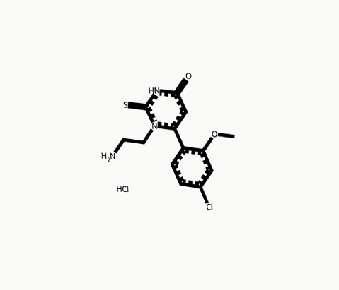 COc1cc(Cl)ccc1-c1cc(=O)[nH]c(=S)n1CCN.Cl